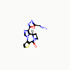 NCc1nnc(-c2ncn3c2[C@@H]2CCN2C(=O)c2sccc2-3)o1